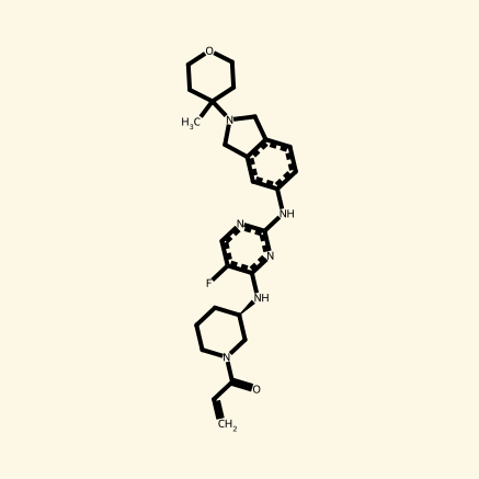 C=CC(=O)N1CCC[C@@H](Nc2nc(Nc3ccc4c(c3)CN(C3(C)CCOCC3)C4)ncc2F)C1